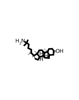 C[C@H](CCCC(C)(C)N)[C@H]1CC[C@H]2[C@@H]3CC=C4C[C@@H](O)CC[C@]4(C)[C@H]3CC[C@]12C